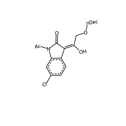 CCCCCCCCCCOCC(O)=C1C(=O)N(C(C)=O)c2cc(Cl)ccc21